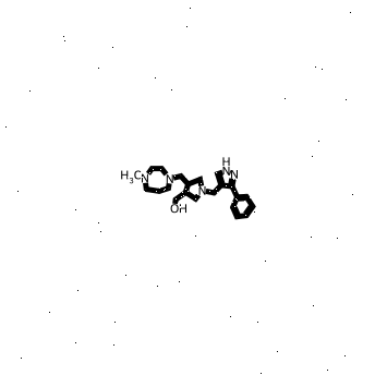 CN1CCCN(CC2CN(Cc3c[nH]nc3-c3ccccc3)CC2CO)CC1